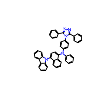 c1ccc(-c2nnc(-c3ccccc3)n2-c2ccc(N(c3ccccc3)c3ccc(-n4c5ccccc5c5ccccc54)c4ccccc34)cc2)cc1